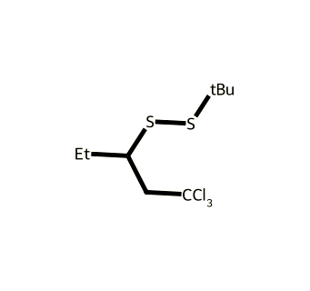 CCC(CC(Cl)(Cl)Cl)SSC(C)(C)C